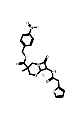 CC1(C(=O)OCc2ccc([N+](=O)[O-])cc2)CS[C@@H]2C(NC(=O)Cc3ccco3)C(=O)N2C1